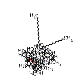 CCCCCCCCCCCCC/C=C/[C@@H](O)[C@H](CO[C@@H]1OC(CO)[C@@H](O[C@@H]2OC(CO)[C@H](O)[C@H](O[C@@H]3OC(CO)[C@@H](O)[C@H](O[C@@H]4OC(CO)[C@H](O)[C@H](O[C@@H]5OC(CO)[C@@H](O)[C@H](O[C@@H]6OC(CO)[C@H](O)[C@H](O[C@H]7OC(CO)[C@H](O)[C@H](O)C7NC(C)=O)C6O)C5NC(C)=O)C4O)C3NC(C)=O)C2O)[C@H](O)C1O)NC(=O)CCCCCCCCCCCCCCC